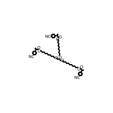 C=C(C(=O)OCCCCCCCCCCOCC(COCCCCCCCCCCOC(=O)C(=C)c1ccc(C#N)cc1)OCCCCCCCCCCOC(=O)C(=C)c1ccc(C#N)cc1)c1ccc(C#N)cc1